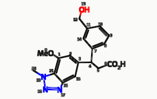 COc1cc(C(CC(=O)O)c2cccc(CO)c2)cc2nnn(C)c12